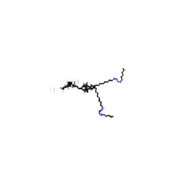 CCCCC/C=C\C/C=C\CCCCCCCCC1(CCCCCCCC/C=C\C/C=C\CCCCC)CC2(C1)O[C@H]1CC(CCCOP(=O)(O)OCCN)C[C@H]1O2